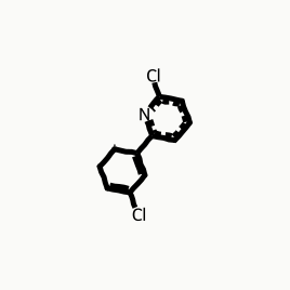 ClC1=CC[CH]C(c2cccc(Cl)n2)=C1